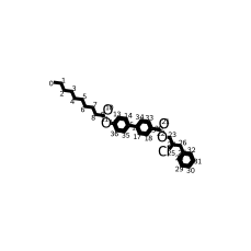 CCCCCCCCCC(=O)Oc1ccc(-c2ccc(C(=O)OCC(Cl)Cc3ccccc3)cc2)cc1